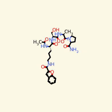 CC(=O)N[C@@H](CCCCNC(=O)c1cc2ccccc2o1)C(=O)N[C@@H](CO)C(=O)N[C@@H](C)C(=O)N1CCCC1C(N)=O